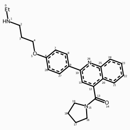 CCNCCCOc1ccc(-c2cc(C(=O)N3CCCC3)c3ccccc3n2)cc1